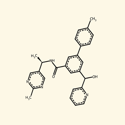 Cc1ccc(-c2cc(C(=O)N[C@H](C)c3cnc(C)nc3)cc(C(O)c3ccccn3)c2)cc1